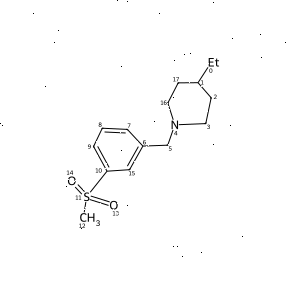 CCC1CCN(Cc2cccc(S(C)(=O)=O)c2)CC1